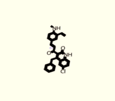 C=Cc1cc(/C=C/C(=O)c2c(Cc3ccccc3)c3cc(Cl)ccc3[nH]c2=O)ccc1NC